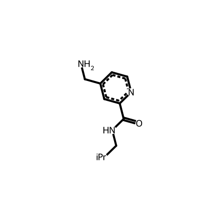 CC(C)CNC(=O)c1cc(CN)ccn1